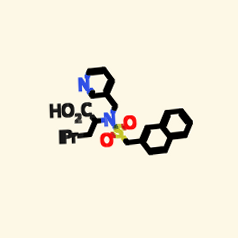 CC(C)CC(C(=O)O)N(Cc1cccnc1)S(=O)(=O)Cc1ccc2ccccc2c1